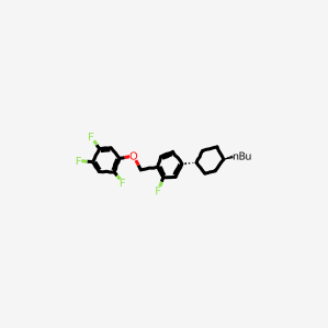 CCCC[C@H]1CC[C@H](c2ccc(COc3cc(F)c(F)cc3F)c(F)c2)CC1